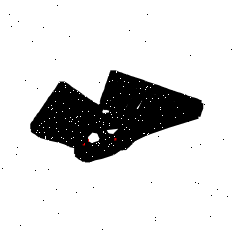 C1C2C3C4C5CC6C7C8CC9C%10C%11C%12C%13C%14C%15C%16C%17C%18C%19C%20C%21C%22CC%23C%24C1C21C2C%25C%26C3%27C3C%28C%29C4%30C4C%31C%32C5%33C6C75C89C%106C%117C%128C%31(C%327C%3356)C45C%138C%144C%156C%167C%178C%189C%19%10C%20%11C%21%12C%23%22C%241C2%12C%25%11C%26%10C%279C38C%287C%296C%3054